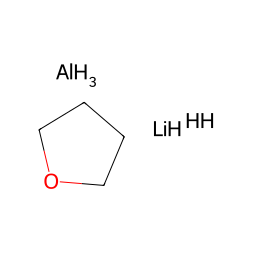 C1CCOC1.[AlH3].[HH].[LiH]